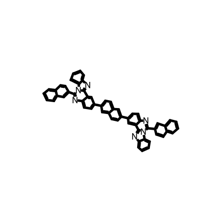 c1ccc2cc(-c3nc4ccc(-c5ccc6cc(-c7ccc8nc(-c9ccc%10ccccc%10c9)n9c%10ccccc%10nc9c8c7)ccc6c5)cc4c4nc5ccccc5n34)ccc2c1